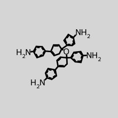 Nc1ccc(C2=CCC(OC3(c4ccc(N)cc4)C=CC(c4ccc(N)cc4)=CC3)(c3ccc(N)cc3)C=C2)cc1